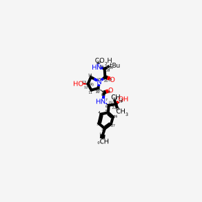 C#Cc1ccc([C@H](NC(=O)[C@@H]2C[C@@H](O)CN2C(=O)C(NC(=O)O)C(C)(C)C)C(C)(C)O)cc1